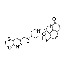 O=c1ccc2ccc(F)c3c2n1CC3(O)CN1CCC(NCc2cc3c(nn2)OCCS3)CC1